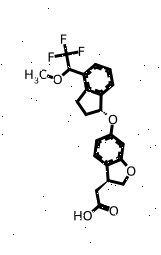 COC(c1cccc2c1CC[C@H]2Oc1ccc2c(c1)OC[C@H]2CC(=O)O)C(F)(F)F